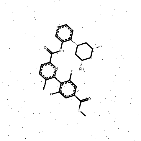 COC(=O)c1cc(F)c(-c2nc(C(=O)Nc3cnccc3[C@@H]3C[C@H](C)C[C@H](N)C3)ccc2F)c(F)c1